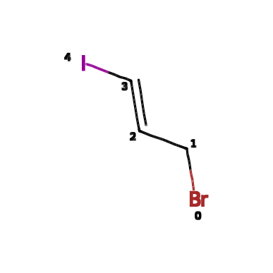 BrC/C=C/I